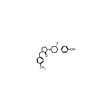 Cc1ccc(CN2CC[C@@H](N3CC[C@@H](c4ccc(O)cc4)[C@@H](F)C3)C2=O)cc1